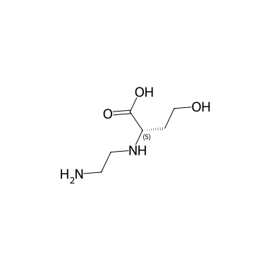 NCCN[C@@H](CCO)C(=O)O